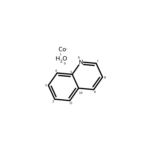 O.[Co].c1ccc2ncccc2c1